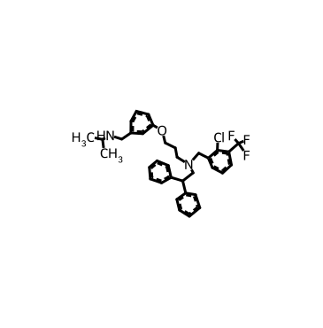 CC(C)NCc1cccc(OCCCN(Cc2cccc(C(F)(F)F)c2Cl)CC(c2ccccc2)c2ccccc2)c1